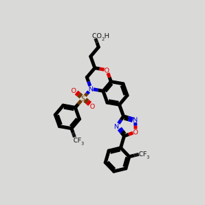 O=C(O)CCC1CN(S(=O)(=O)c2cccc(C(F)(F)F)c2)c2cc(-c3noc(-c4ccccc4C(F)(F)F)n3)ccc2O1